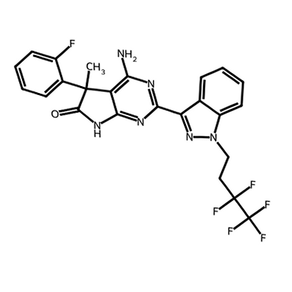 CC1(c2ccccc2F)C(=O)Nc2nc(-c3nn(CCC(F)(F)C(F)(F)F)c4ccccc34)nc(N)c21